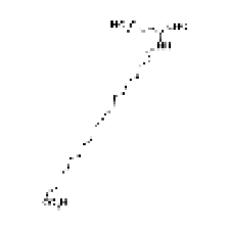 O=CC(CCC(=O)O)NCCCCCCCCCCCCCCCCCCCC(=O)O